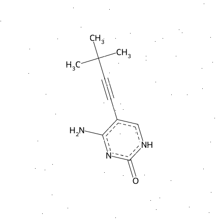 CC(C)(C)C#Cc1c[nH]c(=O)nc1N